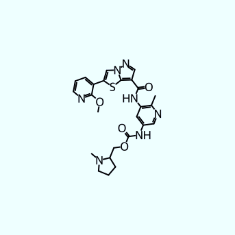 COc1ncccc1-c1cn2ncc(C(=O)Nc3cc(NC(=O)OCC4CCCN4C)cnc3C)c2s1